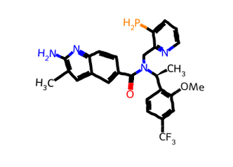 COc1cc(C(F)(F)F)ccc1[C@H](C)N(Cc1ncccc1P)C(=O)c1ccc2nc(N)c(C)cc2c1